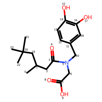 CC(CC(=O)N(CC(=O)O)Cc1ccc(O)c(O)c1)CC(C)(C)C